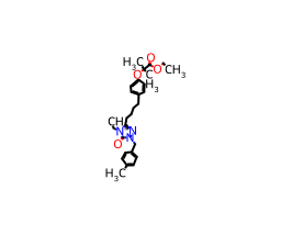 CCOC(=O)C(C)(C)Oc1ccc(CCCCc2nn(Cc3ccc(C)cc3)c(=O)n2CC)cc1